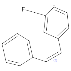 Fc1[c]ccc(/C=C\c2ccccc2)c1